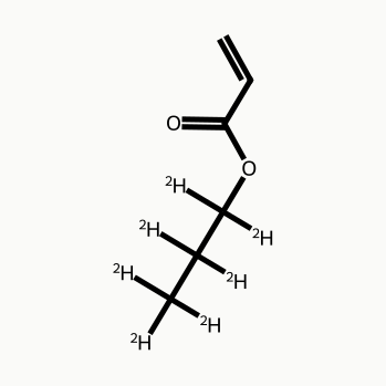 [2H]C([2H])([2H])C([2H])([2H])C([2H])([2H])OC(=O)C=C